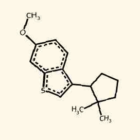 COc1ccc2c(C3CCCC3(C)C)csc2c1